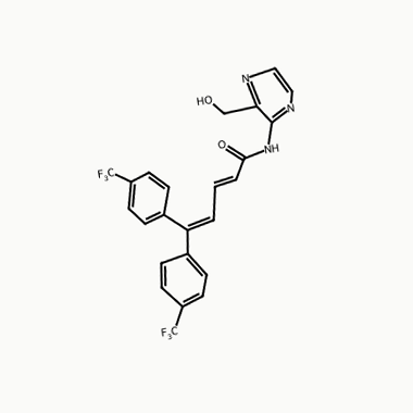 O=C(C=CC=C(c1ccc(C(F)(F)F)cc1)c1ccc(C(F)(F)F)cc1)Nc1nccnc1CO